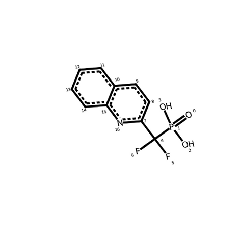 O=P(O)(O)C(F)(F)c1ccc2ccccc2n1